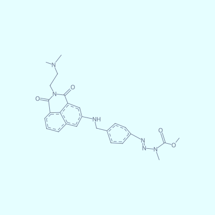 COC(=O)N(C)/N=N/c1ccc(CNc2cc3c4c(cccc4c2)C(=O)N(CCN(C)C)C3=O)cc1